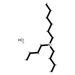 CCCCCCN(CCCC)CCCC.Cl